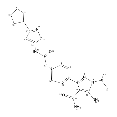 CC(C)n1nc(-c2ccc(CC(=O)Nc3cc(C4CCCC4)no3)cc2)c(C(N)=O)c1N